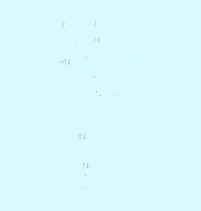 CC1(C(=O)NC[C@H]2CN(S(=O)(=O)c3ccc(F)cc3)c3cc(NC(=O)OC(C)(C)C(F)(F)F)ccc3O2)CCC(=O)N1